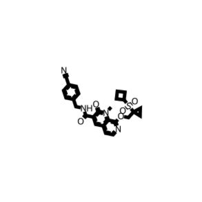 Cn1c(=O)c(C(=O)NCc2ccc(C#N)cc2)cc2ccnc(OCC3(S(=O)(=O)C4CCC4)CC3)c21